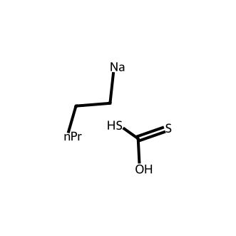 CCCC[CH2][Na].OC(=S)S